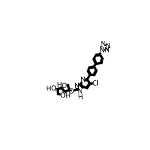 O[C@@H]1CO[C@H]2[C@@H]1OC[C@H]2Oc1nc2nc(-c3ccc(-c4ccc(-n5cnnn5)cc4)cc3)c(Cl)cc2[nH]1